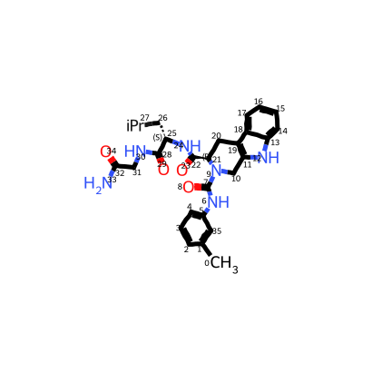 Cc1cccc(NC(=O)N2Cc3[nH]c4ccccc4c3C[C@@H]2C(=O)N[C@@H](CC(C)C)C(=O)NCC(N)=O)c1